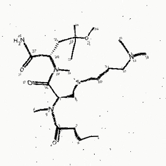 CCCC(=O)N(C)[C@H](CSCCCN(C)C)C(=O)N(C)[C@@H](CC(C)(C)OC)C(N)=O